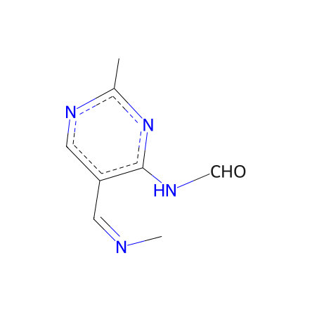 C/N=C\c1cnc(C)nc1NC=O